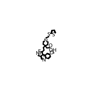 COc1ccc2ncc(CN)c(C(F)CCC3(CC(=O)O)CCN(CCSc4cccs4)CC3)c2c1